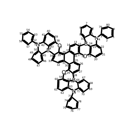 c1ccc(N2c3ccccc3B3c4ccc5c(c4Oc4cccc2c43)c2ccc3c(c2c2ccc4c(c52)Oc2cccc5c2B4c2ccccc2N5c2ccccc2)Oc2cccc4c2B3c2ccccc2N4c2ccccc2)cc1